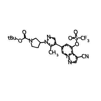 Cc1c(-c2cc(OS(=O)(=O)C(F)(F)F)c3c(C#N)cnn3c2)cnn1C1CCN(C(=O)OC(C)(C)C)C1